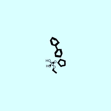 C1CCCC1.CCOP(=O)(O)O.c1ccc(-c2ccccc2)cc1